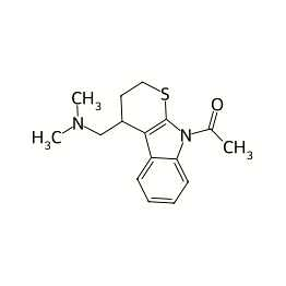 CC(=O)n1c2c(c3ccccc31)C(CN(C)C)CCS2